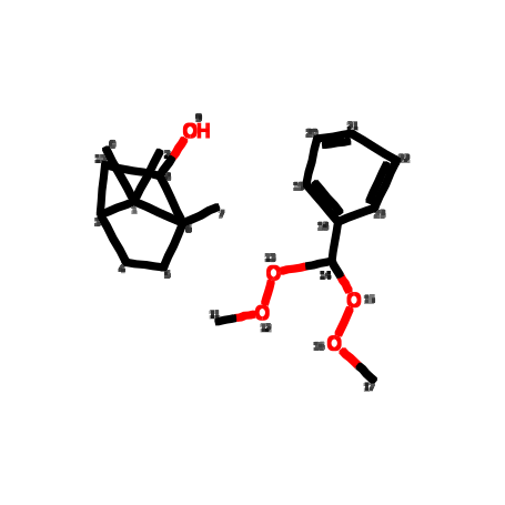 CC1(C)C2CCC1(C)C(O)C2.COOC(OOC)c1ccccc1